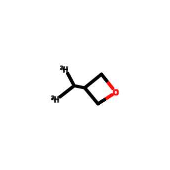 [2H]C([2H])C1COC1